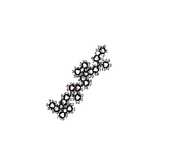 c1ccc(-c2cccc(N(c3ccccc3)c3ccc4cc5c(cc4c3)C3(c4ccccc4-c4ccccc43)c3ccc4c(-c6cccc(-c7ccccc7N(c7ccccc7)c7ccc8cc9c(cc8c7)C7(c8ccccc8-c8ccccc87)c7ccc8ccccc8c7-9)c6)cccc4c3-5)c2)cc1